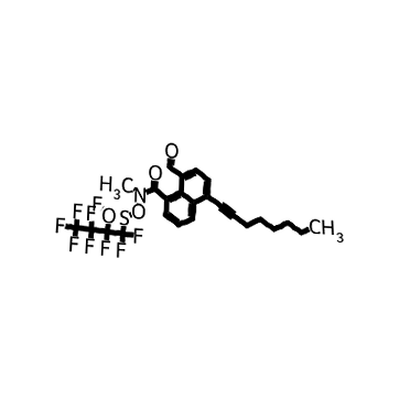 CCCCCCC#Cc1ccc(C=O)c2c(C(=O)N(C)OSC(F)(F)C(F)(OF)C(F)(F)C(F)(F)F)cccc12